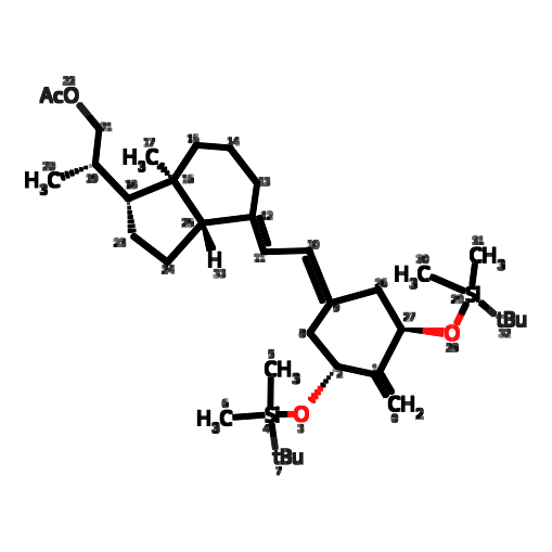 C=C1[C@H](O[Si](C)(C)C(C)(C)C)CC(=C/C=C2\CCC[C@]3(C)[C@@H]([C@H](C)COC(C)=O)CC[C@@H]23)C[C@H]1O[Si](C)(C)C(C)(C)C